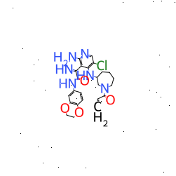 C=CC(=O)N1CCCCC(Nc2c(Cl)cnc(N)c2C(=N)C(=O)Nc2ccc3c(c2)OCCO3)C1